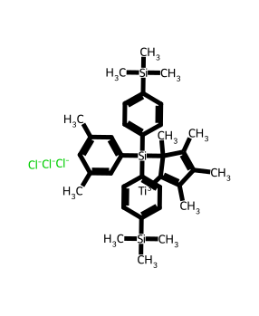 CC1=C(C)C(C)([Si](c2ccc([Si](C)(C)C)cc2)(c2ccc([Si](C)(C)C)cc2)c2cc(C)cc(C)c2)[C]([Ti+3])=C1C.[Cl-].[Cl-].[Cl-]